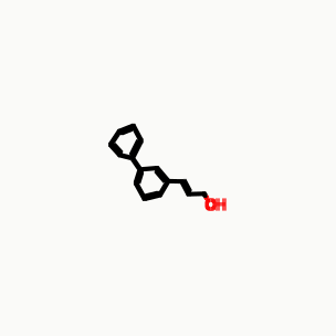 OC/C=C/c1cccc(-c2ccccc2)c1